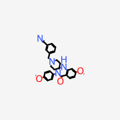 COc1ccc(N2C(=O)c3ccc(OC)cc3NC23CCN(Cc2cccc(C#N)c2)CC3)cc1